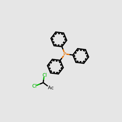 CC(=O)C(Cl)Cl.c1ccc(P(c2ccccc2)c2ccccc2)cc1